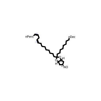 CCCCC/C=C\C/C=C\CCCCCCCCC1(CCCCCCCCCCCCCCCCCC)O[C@H]2C[C@H](N=O)C[C@H]2O1